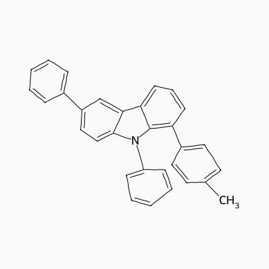 Cc1ccc(-c2cccc3c4cc(-c5ccccc5)ccc4n(-c4ccccc4)c23)cc1